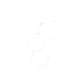 COC(=O)C1CCc2ccccc2N1C